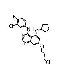 Fc1ccc(Nc2ncnc3cc(OCCCCl)cc(OC4CCCC4)c23)cc1Cl